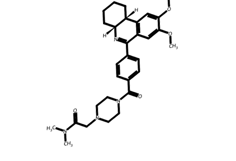 COc1cc2c(cc1OC(F)F)[C@H]1CCCC[C@H]1N=C2c1ccc(C(=O)N2CCN(CC(=O)N(C)C)CC2)cc1